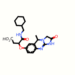 CC1c2cc(OC(CC(=O)O)C(=O)NCC3CCCCC3)ccc2N=C2NC(=O)CN21